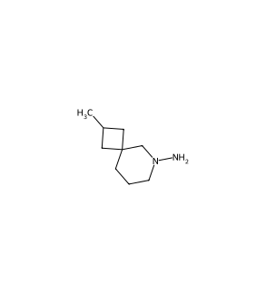 CC1CC2(CCCN(N)C2)C1